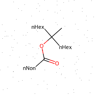 CCCCCCCCCC(=O)OC(C)(CCCCCC)CCCCCC